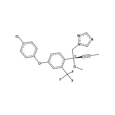 CC#C[C@@](Cn1cncn1)(OC)c1ccc(Oc2ccc(Cl)cc2)cc1C(F)(F)F